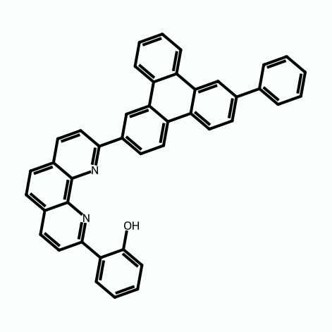 Oc1ccccc1-c1ccc2ccc3ccc(-c4ccc5c6ccc(-c7ccccc7)cc6c6ccccc6c5c4)nc3c2n1